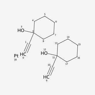 C#CC1(O)CCCCC1.C#CC1(O)CCCCC1.[Pt]